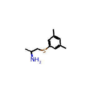 Cc1cc(C)cc(SCC(C)N)c1